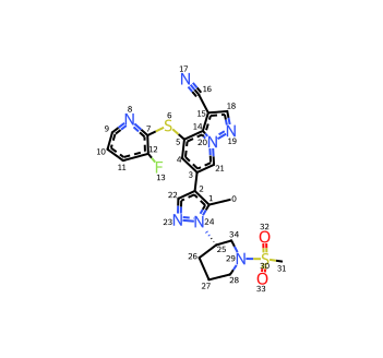 Cc1c(-c2cc(Sc3ncccc3F)c3c(C#N)cnn3c2)cnn1[C@H]1CCCN(S(C)(=O)=O)C1